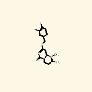 CC1CCn2c(cc(OCc3ccc(F)c(F)c3)nc2=O)N1C